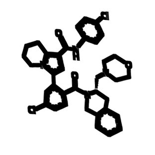 O=C(Nc1ccc(Cl)cc1)c1cc(-c2cc(Cl)ccc2C(=O)N2Cc3ccccc3C[C@H]2CN2CCOCC2)n2c1CCCC2